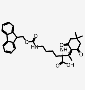 CC(=C1C(=O)CC(C)(C)CC1=O)[C@](N)(CCCCNC(=O)OCC1c2ccccc2-c2ccccc21)C(=O)O